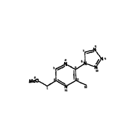 COCc1cnc(-n2cnnn2)c(C)n1